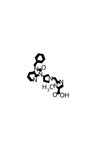 Cn1c(C(=O)O)cnc1CN1CC[C@H](n2c(=O)n(Cc3ccccc3)c3cccnc32)C1